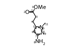 COC(=O)CCc1cc(N)nn1C